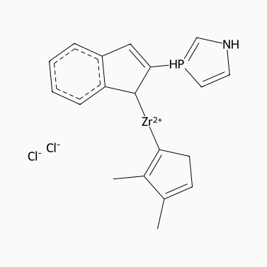 CC1=CC[C]([Zr+2][CH]2C([PH]3=CNC=C3)=Cc3ccccc32)=C1C.[Cl-].[Cl-]